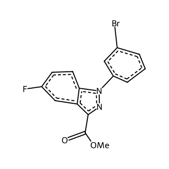 COC(=O)c1nn(-c2cccc(Br)c2)c2ccc(F)cc12